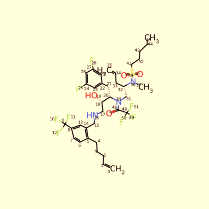 C=CCCCc1ccc(C(F)(F)F)cc1CNC[C@H](O)[C@H](Cc1cc(F)cc(F)c1)N(C[C@H](CC=C)N(C)S(=O)(=O)CCCCC)C(=O)C(F)(F)F